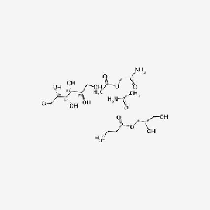 CC(=O)OCC(N)=O.CC(N)=O.CCCC(=O)OCC(O)CO.O=C[C@H](O)[C@@H](O)[C@H](O)[C@H](O)CO